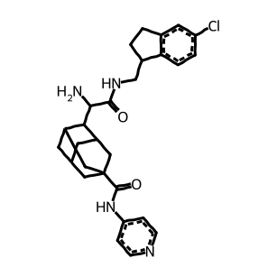 NC(C(=O)NCC1CCc2cc(Cl)ccc21)C1C2CC3CC1CC(C(=O)Nc1ccncc1)(C3)C2